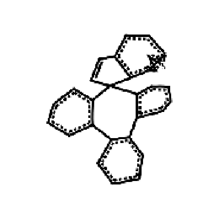 C1=CC2(c3ccccc3-c3ccccc3-c3ccccc32)c2c1ccc1sccc21